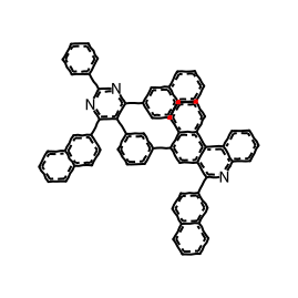 c1ccc(-c2nc(-c3ccc4ccccc4c3)c(-c3cccc(-c4cc5c(-c6ccc7ccccc7c6)nc6ccccc6c5c5ccccc45)c3)c(-c3ccc4ccccc4c3)n2)cc1